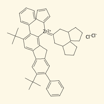 CC(C)(C)c1cc2c(cc1-c1ccccc1)Cc1c-2cc(C(C)(C)C)c(-c2ccccc2)[c]1[Zr+2]([C]1=CC=CC1)=[C](CC1CCCC1)CC1CCCC1.[Cl-].[Cl-]